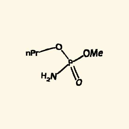 CCCOP(N)(=O)OC